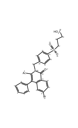 CC(=O)c1c(-c2ccccc2)c2cc(Br)ccc2c(=O)n1Cc1ccc(S(=O)(=O)CCCC(=O)O)cc1